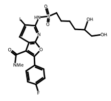 CNC(=O)c1c(-c2ccc(F)cc2)oc2nc(NS(=O)(=O)CCCCC(O)CO)c(I)cc12